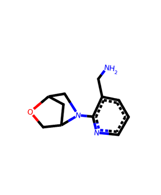 NCc1cccnc1N1CC2CC1CO2